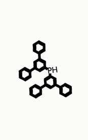 c1ccc(-c2cc(Pc3cc(-c4ccccc4)cc(-c4ccccc4)c3)cc(-c3ccccc3)c2)cc1